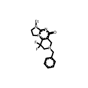 CCN1CCn2c1nc(=O)c1c2C(F)(F)CN(Cc2ccccc2)C1